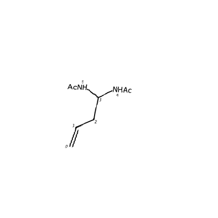 C=CCC(NC(C)=O)NC(C)=O